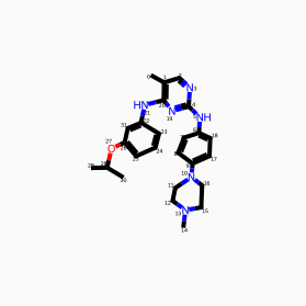 Cc1cnc(Nc2ccc(N3CCN(C)CC3)cc2)nc1Nc1cccc(OC(C)C)c1